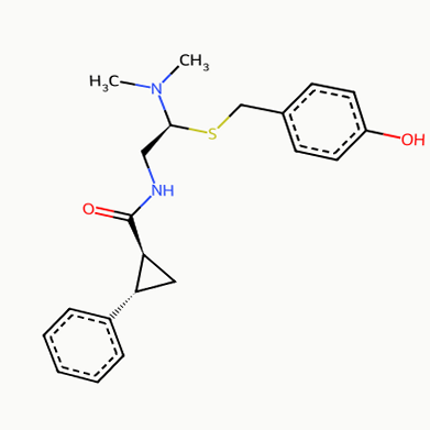 CN(C)[C@H](CNC(=O)[C@H]1C[C@@H]1c1ccccc1)SCc1ccc(O)cc1